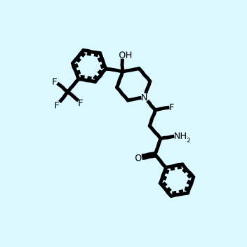 NC(CC(F)N1CCC(O)(c2cccc(C(F)(F)F)c2)CC1)C(=O)c1ccccc1